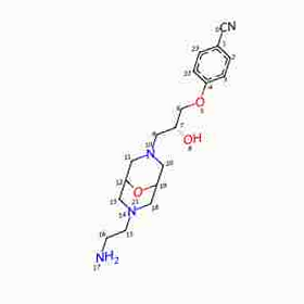 N#Cc1ccc(OC[C@H](O)CN2CC3CN(CCN)CC(C2)O3)cc1